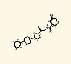 O=C(NCC(=O)N1CCC(N2CCC(c3ccccc3)CC2)C1)c1cncc(Cl)c1